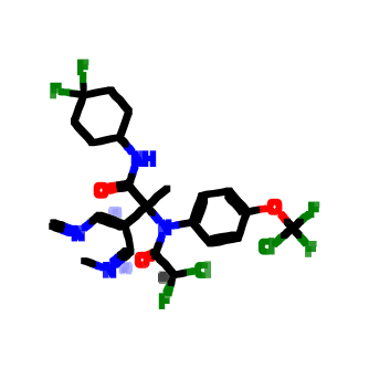 C=N/C=C(\C=N/C)C(C)(C(=O)NC1CCC(F)(F)CC1)N(C(=O)[C@H](F)Cl)c1ccc(OC(F)(F)Cl)cc1